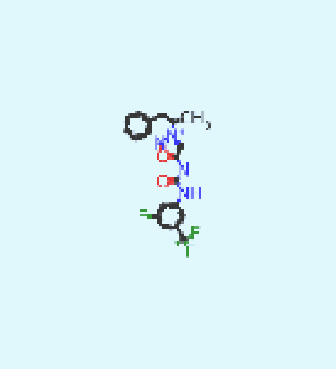 CC(Cc1ccccc1)[n+]1cc([N-]C(=O)Nc2cc(F)cc(C(F)(F)F)c2)on1